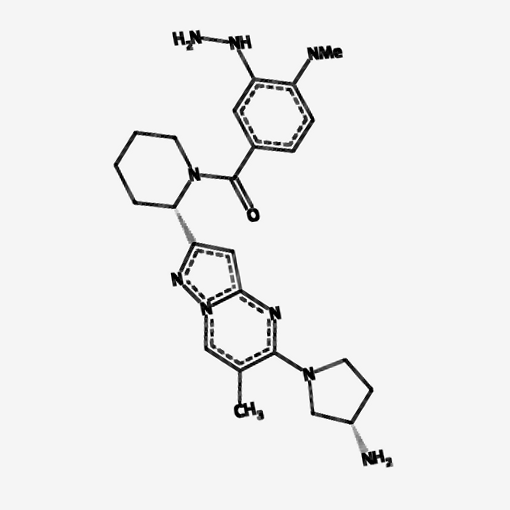 CNc1ccc(C(=O)N2CCCC[C@H]2c2cc3nc(N4CC[C@H](N)C4)c(C)cn3n2)cc1NN